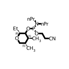 CCCN(CCC)P(OCCC#N)OC1[C@@H](C)[C@H](C)CO[C@@H]1CC